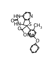 COC(=O)C1(c2ccc(Oc3ccccc3)cc2C)Sc2nccc3c2C1NC(=O)N3